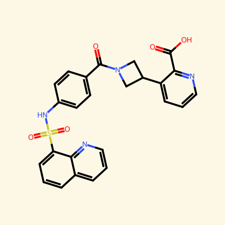 O=C(O)c1ncccc1C1CN(C(=O)c2ccc(NS(=O)(=O)c3cccc4cccnc34)cc2)C1